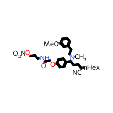 CCCCCCC(C#N)CCC(c1ccc(OCC(=O)NCCCO[N+](=O)[O-])cc1)N(C)CCc1cccc(OC)c1